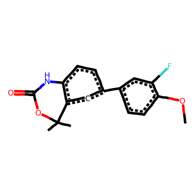 COc1ccc(-c2ccc3c(c2)C(C)(C)OC(=O)N3)cc1F